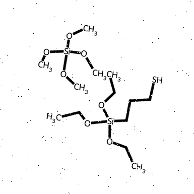 CCO[Si](CCCS)(OCC)OCC.CO[Si](OC)(OC)OC